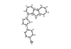 Brc1ccc(-c2ccc(-c3cccc4c3oc3ccccc34)s2)cc1